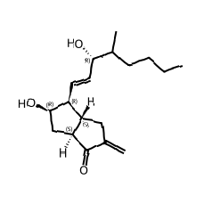 C=C1C[C@H]2[C@H](C=C[C@H](O)C(C)CCCC)[C@H](O)C[C@@H]2C1=O